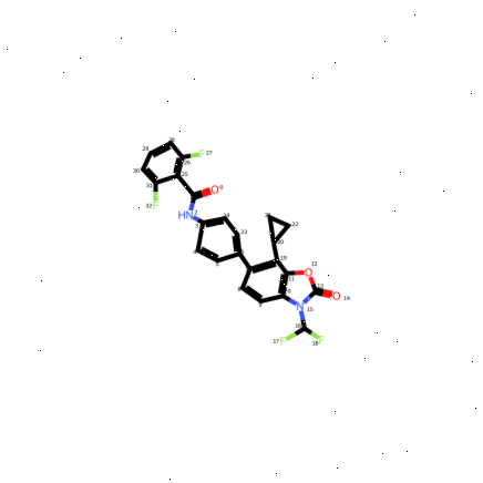 O=C(Nc1ccc(-c2ccc3c(oc(=O)n3C(F)F)c2C2CC2)cc1)c1c(F)cccc1F